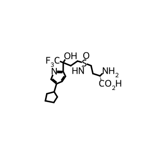 N=S(=O)(CC[C@H](N)C(=O)O)CCC(O)(c1ccc(C2CCCC2)cn1)C(F)(F)F